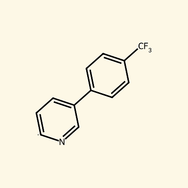 FC(F)(F)c1ccc(-c2cc[c]nc2)cc1